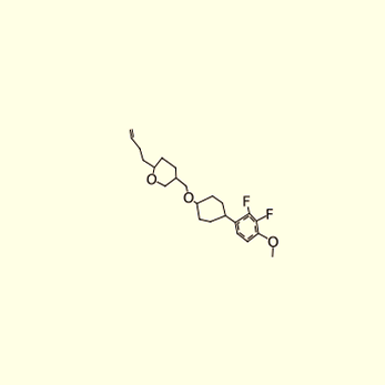 C=CCCC1CCC(COC2CCC(c3ccc(OC)c(F)c3F)CC2)CO1